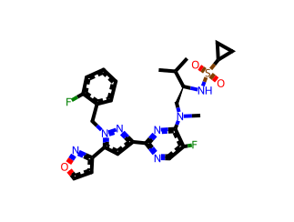 CC(C)[C@H](CN(C)c1nc(-c2cc(-c3ccon3)n(Cc3ccccc3F)n2)ncc1F)NS(=O)(=O)C1CC1